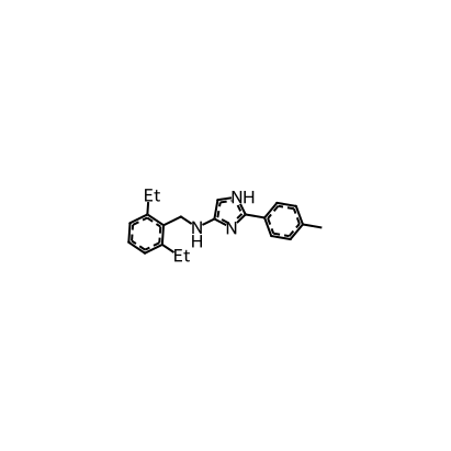 CCc1cccc(CC)c1CNc1c[nH]c(-c2ccc(C)cc2)n1